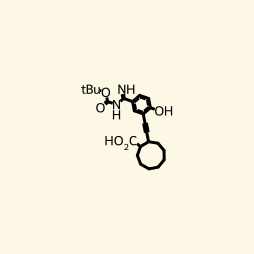 CC(C)(C)OC(=O)NC(=N)c1ccc(O)c(C#CC2CCCCCCCC2C(=O)O)c1